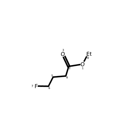 CCOC(=O)CCCF